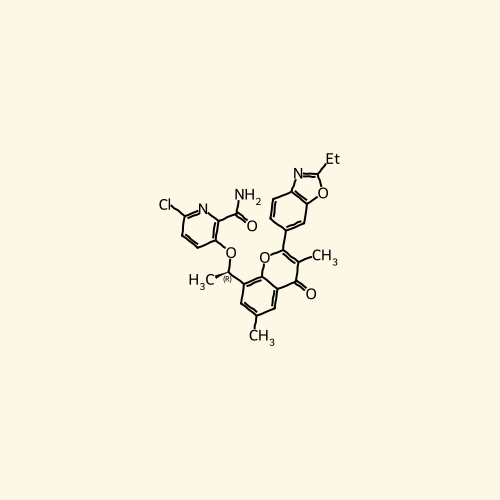 CCc1nc2ccc(-c3oc4c([C@@H](C)Oc5ccc(Cl)nc5C(N)=O)cc(C)cc4c(=O)c3C)cc2o1